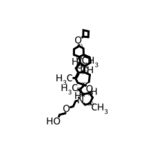 CC1=C2C[C@H]3[C@@H](CC=C4C[C@@H](OC5CCC5)CC[C@@]43C)[C@@H]2CC[C@@]2(C1)O[C@@H]1C[C@H](C)CN(CCOCCO)[C@H]1[C@H]2C